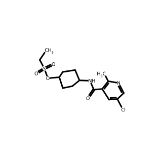 CCS(=O)(=O)OC1CCC(NC(=O)c2cc(Cl)cnc2C)CC1